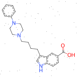 O=C(O)c1ccc2[nH]cc(CCCCN3CCN(c4ccccc4)CC3)c2c1